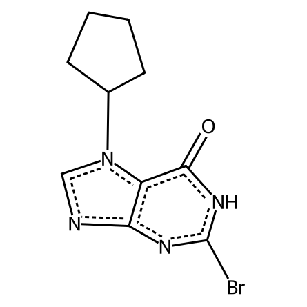 O=c1[nH]c(Br)nc2ncn(C3CCCC3)c12